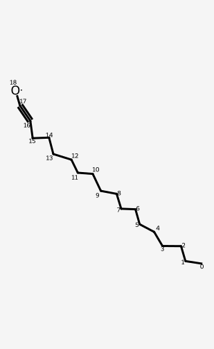 CCCCCCCCCCCCCCCCC#C[O]